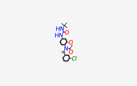 C[C@@H](c1cccc(Cl)c1)N1C(=O)COc2cc(NC(=O)NC(C)(C)C)ccc21